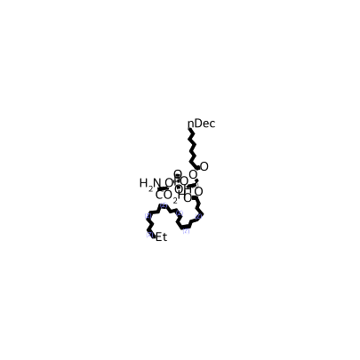 CC/C=C\C/C=C\C/C=C\C/C=C\C/C=C\C/C=C\CCC(=O)O[C@H](COC(=O)CCCCCCCCCCCCCCCCC)COP(=O)(O)OC[C@H](N)C(=O)O